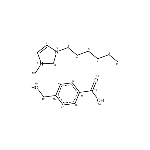 CCCCCCN1C=CN(C)C1.O=C(O)c1ccc(CO)cc1